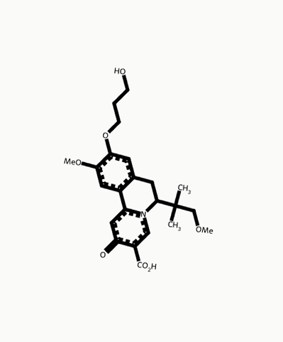 COCC(C)(C)C1Cc2cc(OCCCO)c(OC)cc2-c2cc(=O)c(C(=O)O)cn21